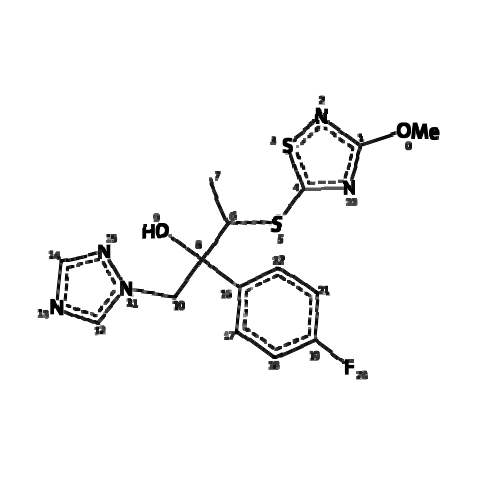 COc1nsc(SC(C)C(O)(Cn2cncn2)c2ccc(F)cc2)n1